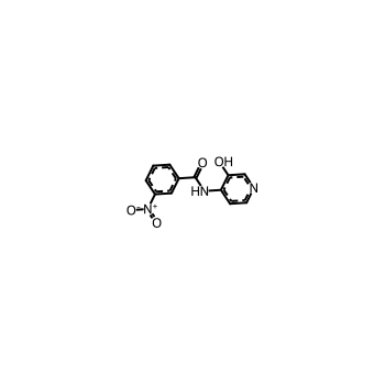 O=C(Nc1ccncc1O)c1cccc([N+](=O)[O-])c1